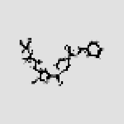 Cn1nc(C(=O)N2CCN(C(=O)OCc3ccccc3)CC2)cc1CNC(=O)OC(C)(C)C